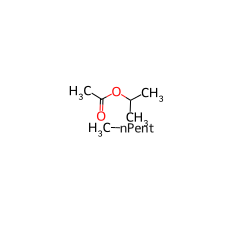 CC(=O)OC(C)C.CCCCCC